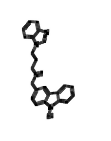 CCn1c2ccccc2c2cc(CNCCCn3cnc4ccccc43)ccc21